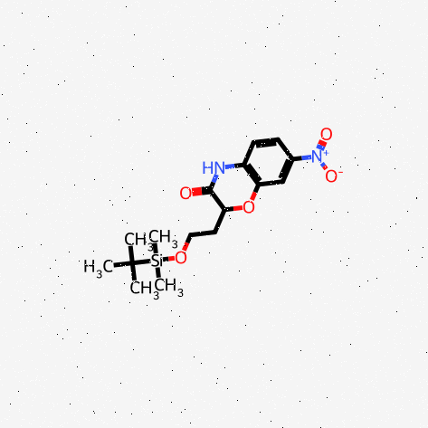 CC(C)(C)[Si](C)(C)OCCC1Oc2cc([N+](=O)[O-])ccc2NC1=O